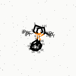 CC(C)[C@@H]1CC[C@@H](C(C)C)P1[C]12[CH]3[CH]4[CH]5[CH]1[Fe]45321678[CH]2[CH]1[CH]6[C]7(P1[C@H](C(C)C)CC[C@H]1C(C)C)[CH]28